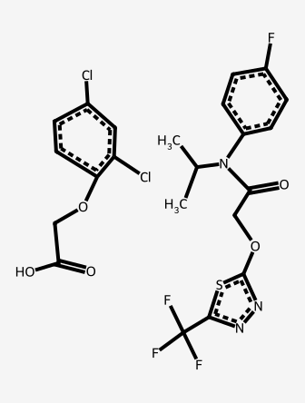 CC(C)N(C(=O)COc1nnc(C(F)(F)F)s1)c1ccc(F)cc1.O=C(O)COc1ccc(Cl)cc1Cl